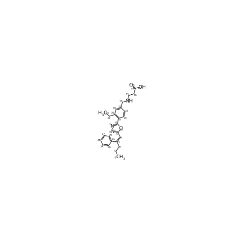 CCCC(=Cc1nnc(-c2ccc(CNCCC(=O)O)cc2CC)o1)c1ccccc1